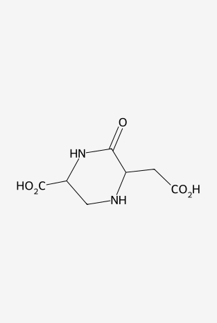 O=C(O)CC1NCC(C(=O)O)NC1=O